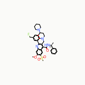 COc1cc2nc(-c3cccc(CF)c3)c(CN3CCC(N4CCCCC4)CC3)c(C(=O)N[C@@H](C)c3ccccc3)c2cc1S(C)(=O)=O